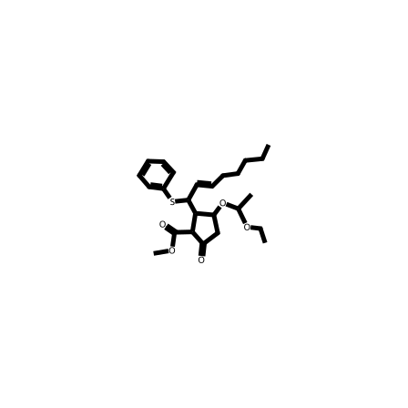 CCCCC/C=C/C(Sc1ccccc1)C1C(OC(C)OCC)CC(=O)C1C(=O)OC